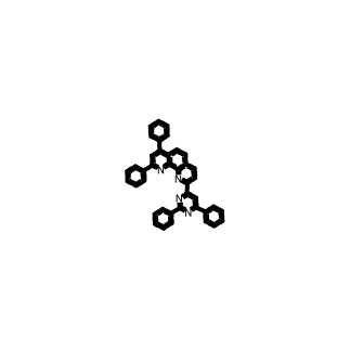 c1ccc(-c2cc(-c3ccc4ccc5c(-c6ccccc6)cc(-c6ccccc6)nc5c4n3)nc(-c3ccccc3)n2)cc1